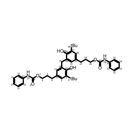 CC(C)(C)c1cc(CCCOC(=O)Nc2ccccc2)cc(Cc2cc(CCCOC(=O)Nc3ccccc3)cc(C(C)(C)C)c2O)c1O